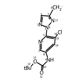 [CH2]c1cnn(-c2ncc(NC(=O)OC(C)(C)C)cc2Cl)n1